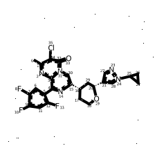 Cc1nc2c(-c3cc(F)c(F)cc3F)nc([C@H]3CCO[C@@H](c4cnn(C5CC5)c4)C3)cn2c(=O)c1Cl